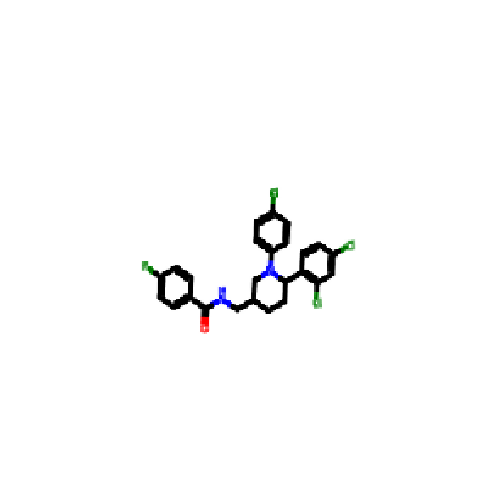 O=C(NCC1CCC(c2ccc(Cl)cc2Cl)N(c2ccc(Cl)cc2)C1)c1ccc(F)cc1